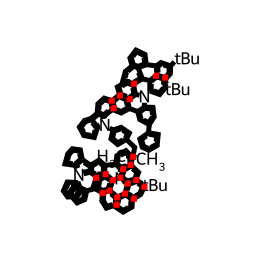 CC(C)(C)c1cc(-c2cccc3cccc(-c4ccccc4N(c4cccc(-c5ccc6c7ccccc7n(-c7ccc(CC(C)(C)c8cc(-c9cccc%10cccc(-c%11ccccc%11N(c%11ccccc%11-c%11ccc%12c(c%11)c%11ccccc%11n%12-c%11ccccc%11)c%11ccc(-c%12ccccc%12)cc%11-c%11ccccc%11)c9%10)cc(C(C)(C)C)c8)cc7)c6c5)c4)c4ccc(-c5ccccc5)cc4-c4ccccc4)c23)cc(C(C)(C)C)c1